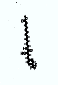 COC(=O)CCCCCCCCCCCNC(=O)C(O)CCc1ccc(C(F)(F)F)cc1